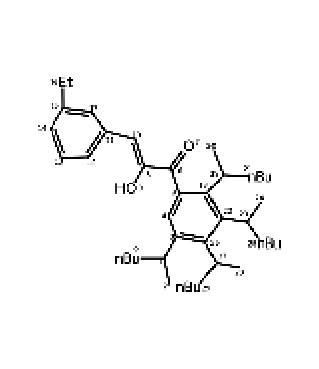 CCCCC(C)c1cc(C(=O)C(O)=Cc2cccc(CC)c2)c(C(C)CCCC)c(C(C)CCCC)c1C(C)CCCC